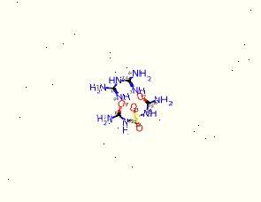 N=C(N)NC(=N)N.NC(=O)NS(=O)(=O)NC(N)=O